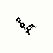 O=C(O)C1=CN2C(=O)C[C@H]2SC1Sc1ccc(-c2nccs2)cc1